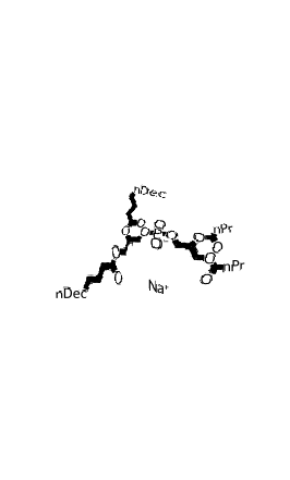 CCCCCCCCCCCCCC(=O)OC[C@H](COP(=O)([O-])OCC(COC(=O)CCC)OC(=O)CCC)OC(=O)CCCCCCCCCCCCC.[Na+]